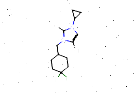 CC1=CN(C2CC2)C(C(F)(F)F)N1CC1CCC(F)(F)CC1